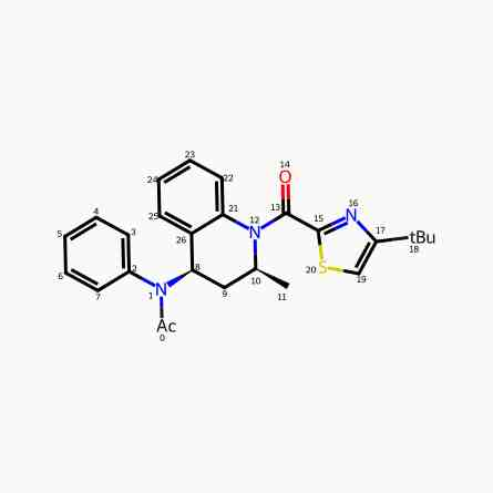 CC(=O)N(c1ccccc1)[C@@H]1C[C@H](C)N(C(=O)c2nc(C(C)(C)C)cs2)c2ccccc21